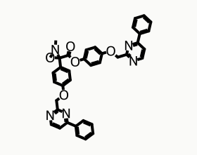 CN1OC1(C(=O)Oc1ccc(OCc2nccc(-c3ccccc3)n2)cc1)c1ccc(OCc2nccc(-c3ccccc3)n2)cc1